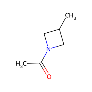 CC(=O)N1CC(C)C1